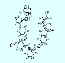 CN(C)Cc1ncc(-c2ccc(Oc3cc(Cl)cnc3CN3CCCC[C@@H]3COc3ccc4c(c3)CN(C3CCC(=O)NC3=O)C4=O)cc2)n1C